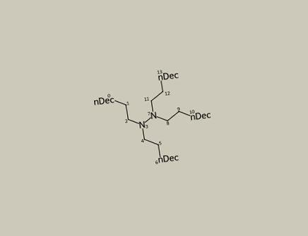 CCCCCCCCCCCCN(CCCCCCCCCCCC)N(CCCCCCCCCCCC)CCCCCCCCCCCC